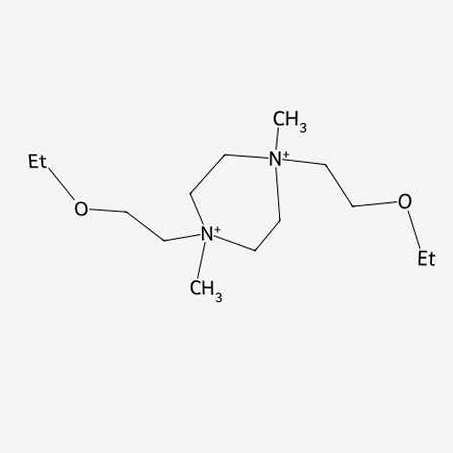 CCOCC[N+]1(C)CC[N+](C)(CCOCC)CC1